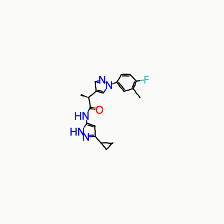 Cc1cc(-n2cc([C@H](C)C(=O)Nc3cc(C4CC4)n[nH]3)cn2)ccc1F